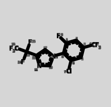 Fc1cc(C(F)(F)F)cc(Cl)c1-n1cnc(C(F)(F)C(F)(F)F)c1